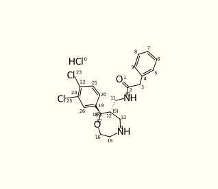 Cl.O=C(Cc1ccccc1)NC[C@@H]1CNCCO[C@H]1c1ccc(Cl)c(Cl)c1